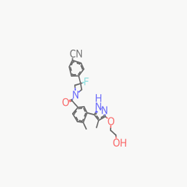 Cc1ccc(C(=O)N2CC(F)(c3ccc(C#N)cc3)C2)cc1-c1[nH]nc(OCCO)c1C